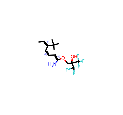 C\C=C(/C=C\C=C(/N)OCC(O)(C(F)(F)F)C(F)(F)F)C(C)(C)C